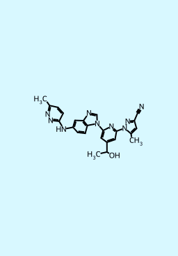 Cc1ccc(Nc2ccc3c(c2)ncn3-c2cc(C(C)O)cc(-n3nc(C#N)cc3C)n2)nn1